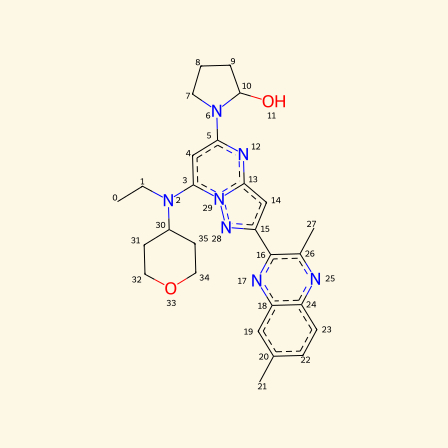 CCN(c1cc(N2CCCC2O)nc2cc(-c3nc4cc(C)ccc4nc3C)nn12)C1CCOCC1